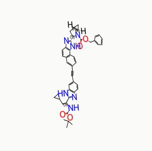 CC(C)(C)OC(=O)N[C@@H](CC1CC1)c1nc2ccc(C#Cc3ccc4c(ccc5nc([C@@H]6C[C@H]7C[C@H]7N6C(=O)OCc6ccccc6)[nH]c54)c3)cc2[nH]1